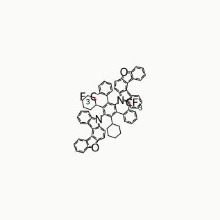 FC(F)(F)c1ccccc1-c1c(C2CCCCC2)c(-n2c3ccccc3c3c4c(ccc32)oc2ccccc24)c(C2CCCCC2)c(-c2ccccc2C(F)(F)F)c1-n1c2ccccc2c2c3c(ccc21)oc1ccccc13